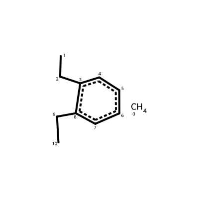 C.CCc1ccccc1CC